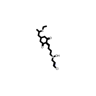 CCSC(C)CC1CC(=O)C(=CCCCN(O)C/C=C/Cl)C(=O)C1